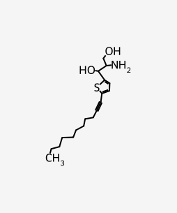 CCCCCCCCCC#Cc1ccc(C(O)C(N)CO)s1